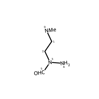 CNCCN(N)C=O